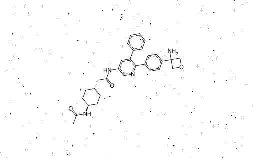 CC(=O)N[C@H]1CC[C@H](CC(=O)Nc2cnc(-c3ccc(C4(N)COC4)cc3)c(-c3ccccc3)c2)CC1